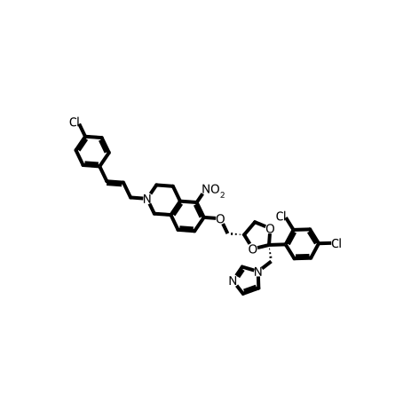 O=[N+]([O-])c1c(OC[C@@H]2CO[C@@](Cn3ccnc3)(c3ccc(Cl)cc3Cl)O2)ccc2c1CCN(C/C=C/c1ccc(Cl)cc1)C2